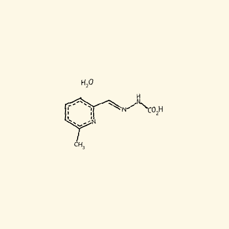 Cc1cccc(C=NNC(=O)O)n1.O